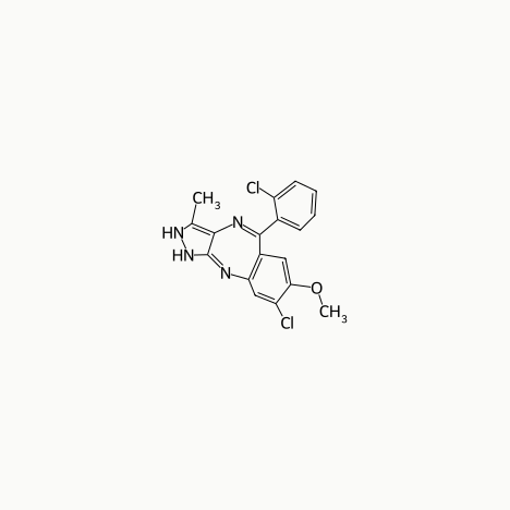 COc1cc2c(cc1Cl)N=C1NNC(C)=C1N=C2c1ccccc1Cl